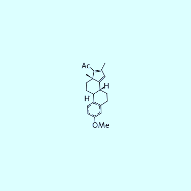 COc1ccc2c(c1)CC[C@H]1C3=CC(C)=C(C(C)=O)[C@@]3(C)CC[C@H]21